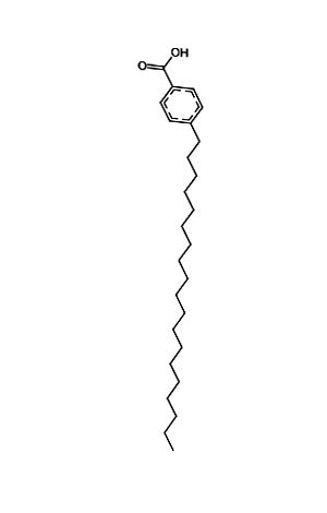 CCCCCCCCCCCCCCCCCCCc1ccc(C(=O)O)cc1